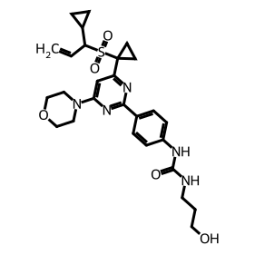 C=CC(C1CC1)S(=O)(=O)C1(c2cc(N3CCOCC3)nc(-c3ccc(NC(=O)NCCCO)cc3)n2)CC1